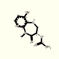 CN1C(=O)[C@@H](OC(N)=O)COc2c(Br)ccnc21